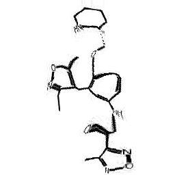 Cc1nonc1C(=O)Nc1ccc(OC[C@H]2CCCCN2)c(-c2c(C)noc2C)c1